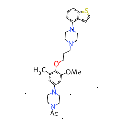 COc1cc(N2CCN(C(C)=O)CC2)cc(C)c1OCCCN1CCN(c2cccc3sccc23)CC1